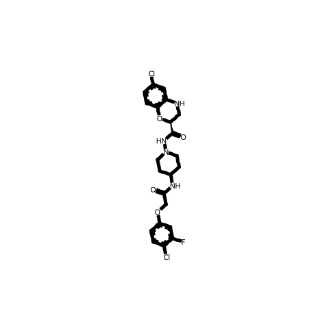 O=C(COc1ccc(Cl)c(F)c1)NC1CCN(NC(=O)[C@@H]2CNc3cc(Cl)ccc3O2)CC1